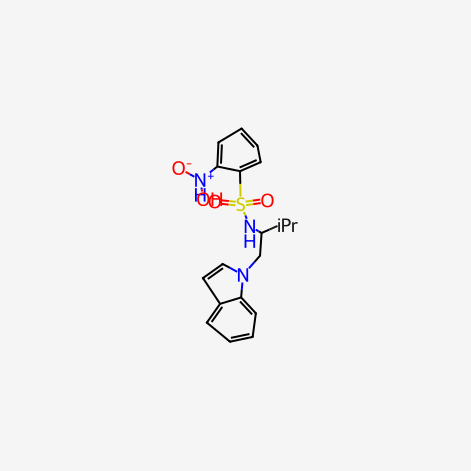 CC(C)C(Cn1ccc2ccccc21)NS(=O)(=O)c1ccccc1[NH+]([O-])O